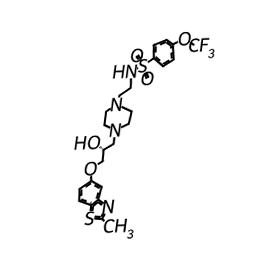 Cc1nc2cc(OC[C@H](O)CN3CCN(CCNS(=O)(=O)c4ccc(OC(F)(F)F)cc4)CC3)ccc2s1